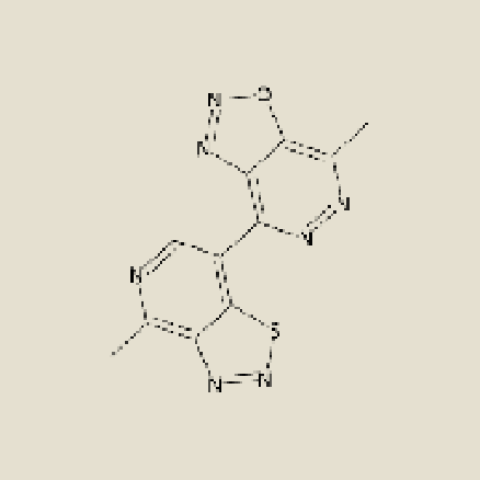 Cc1ncc(-c2nnc(C)c3onnc23)c2snnc12